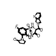 NC(=O)[C@H](NS(=O)(=O)c1cc(F)cc(N2CCCC2=O)c1Cl)C(=O)N1Cc2cccnc2C1